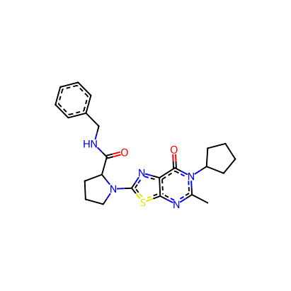 Cc1nc2sc(N3CCCC3C(=O)NCc3ccccc3)nc2c(=O)n1C1CCCC1